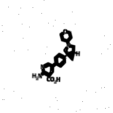 Nc1ncc(-c2ccc([C@@]34C[C@@H]3CN(C3CCOCC3)C4)cc2)cc1C(=O)O